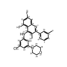 Cc1ccnc(-c2nc3cc(F)cc(F)c3c(Nc3cc(Cl)cc(N4CCOCC4)n3)c2C)c1